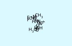 Cc1cc(-c2cnc(-c3ccc(NS(C)(=O)=O)cc3N3CCC4(CC3)CC4)[nH]2)nc(N2CCC(F)(F)CC2)n1